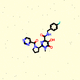 Cn1c(C2CCCN2C(=O)c2ccncn2)nc(C(=O)NCc2ccc(F)cc2)c(O)c1=O